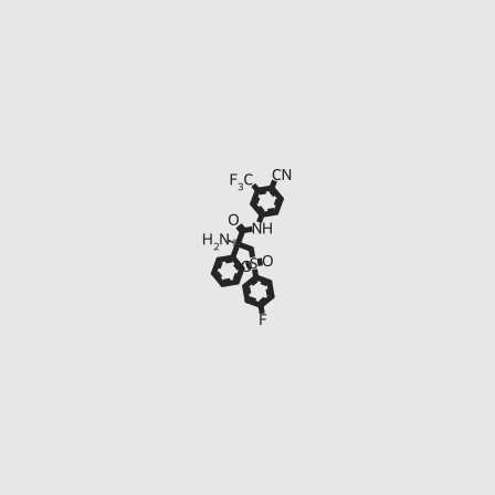 N#Cc1ccc(NC(=O)[C@@](N)(CS(=O)(=O)c2ccc(F)cc2)c2ccccc2)cc1C(F)(F)F